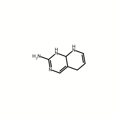 NC1=NC=C2CC=CNC2N1